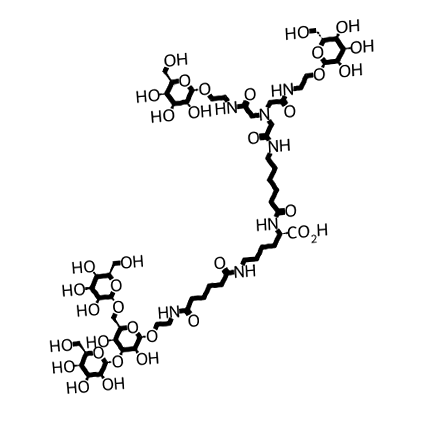 O=C(CCCCC(=O)NCCO[C@H]1O[C@H](CO[C@H]2O[C@H](CO)[C@@H](O)[C@H](O)[C@@H]2O)[C@@H](O)[C@H](O[C@H]2O[C@H](CO)[C@@H](O)[C@H](O)[C@@H]2O)[C@@H]1O)NCCCC[C@H](NC(=O)CCCCCNC(=O)CN(CC(=O)NCCO[C@H]1O[C@H](CO)[C@@H](O)[C@H](O)[C@H]1O)CC(=O)NCCO[C@H]1O[C@H](CO)[C@@H](O)[C@H](O)[C@H]1O)C(=O)O